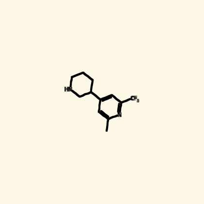 Cc1cc(C2CCCNC2)cc(C(F)(F)F)n1